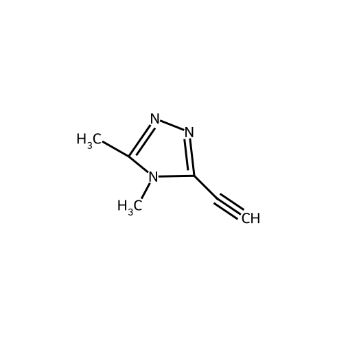 C#Cc1nnc(C)n1C